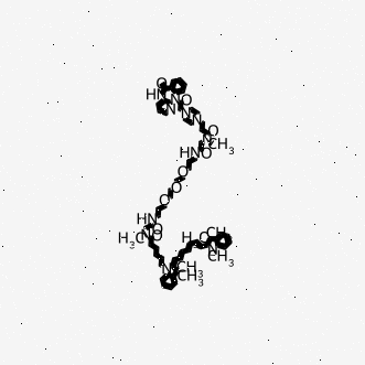 CN(CC(=O)NCCCOCCOCCOCCCNC(=O)CN(C)C(=O)CCN1CCN(CC(=O)N2c3ccccc3C(=O)Nc3cccnc32)CC1)C(=O)CCCCCN1/C(=C/C=C/C=C/C=C/C2=[N+](C)c3ccccc3C2(C)C)C(C)(C)c2ccccc21